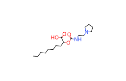 CCCCCCCCC(OC(=O)NCCN1CCCC1)C(=O)O